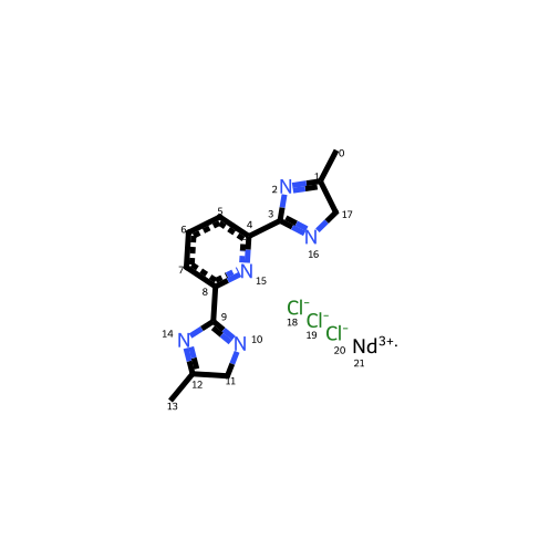 CC1=NC(c2cccc(C3=NCC(C)=N3)n2)=NC1.[Cl-].[Cl-].[Cl-].[Nd+3]